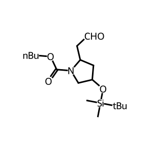 CCCCOC(=O)N1CC(O[Si](C)(C)C(C)(C)C)CC1CC=O